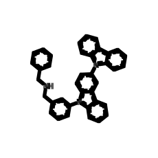 c1ccc(CNCc2cccc(-n3c4ccccc4c4cc(-n5c6ccccc6c6ccccc65)ccc43)c2)cc1